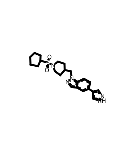 O=S(=O)(C1CCCCC1)N1CCC(Cn2ncc3cc(-c4cn[nH]c4)ccc32)CC1